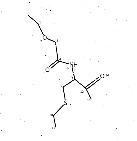 CCOCC(=O)NC(CSCC)C(C)=O